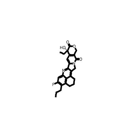 CCCc1c(F)cc2nc3c(c4c2c1CCC4)Cn1c-3cc2c(c1=O)COC(=O)[C@]2(O)CC